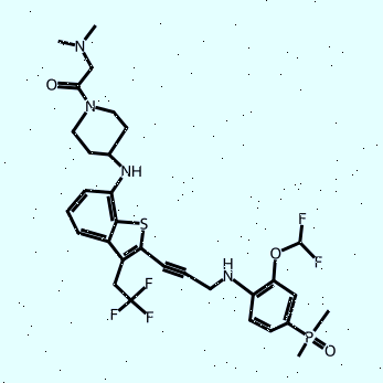 CN(C)CC(=O)N1CCC(Nc2cccc3c(CC(F)(F)F)c(C#CCNc4ccc(P(C)(C)=O)cc4OC(F)F)sc23)CC1